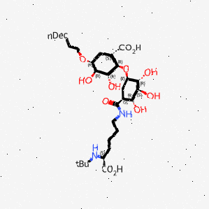 CCCCCCCCCCCCO[C@@H]1C[C@H](C(=O)O)[C@@H](O[C@@H]2C[C@H](C(=O)NCCCC[C@H](NC(C)(C)C)C(=O)O)[C@@H](O)[C@H](O)[C@H]2O)[C@H](O)[C@H]1O